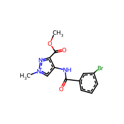 COC(=O)c1nn(C)cc1NC(=O)c1cccc(Br)c1